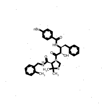 CCCCc1ccc(C(=O)N[C@@H](Cc2ccccc2)[C@H](O)C(=O)N2CSC(C)(C)[C@H]2C(=O)NCc2ccccc2C)cc1